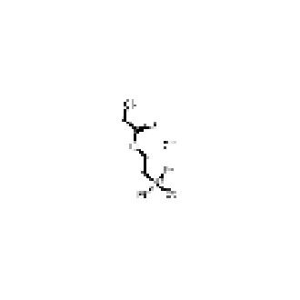 CC[N+](CC)(CC)CCOC(=O)CC#N.[Cl-]